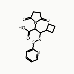 O=C(O)C(C(SSc1ccccn1)C1CCC1)N1C(=O)CCC1=O